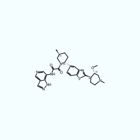 CO[C@@H]1CN(C)CC[C@H]1c1nc2cc([C@H]3CC[C@H](C)CN3C(=O)C(=O)Nc3cncc4cn[nH]c34)ccc2s1